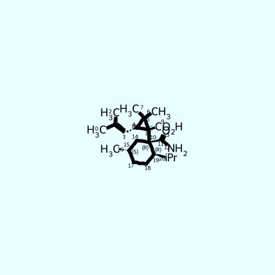 CC(C)=C[C@@H]1C(C)(C)[C@]1(C(=O)O)[C@@]1(C(N)=O)C[C@@H](C)CC[C@@H]1C(C)C